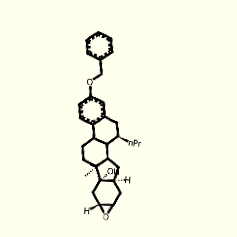 CCC[C@@H]1Cc2cc(OCc3ccccc3)ccc2C2CC[C@@]3(C)C(C[C@H]4CC5O[C@@H]5C[C@]43O)C21